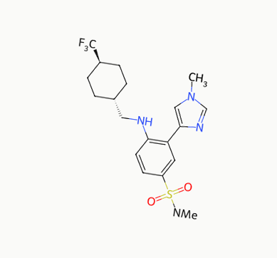 CNS(=O)(=O)c1ccc(NC[C@H]2CC[C@H](C(F)(F)F)CC2)c(-c2cn(C)cn2)c1